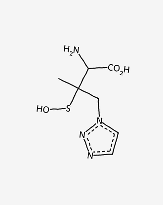 CC(Cn1ccnn1)(SO)C(N)C(=O)O